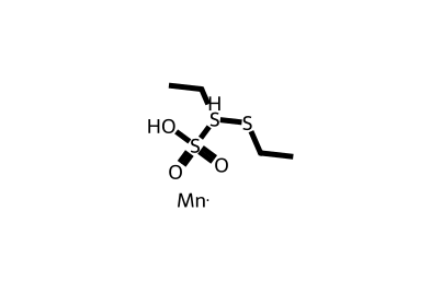 CCS[SH](CC)S(=O)(=O)O.[Mn]